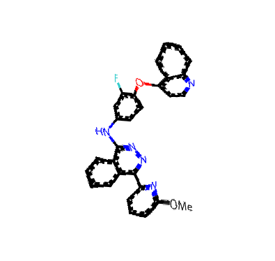 COc1cccc(-c2nnc(Nc3ccc(Oc4ccnc5ccccc45)c(F)c3)c3ccccc23)n1